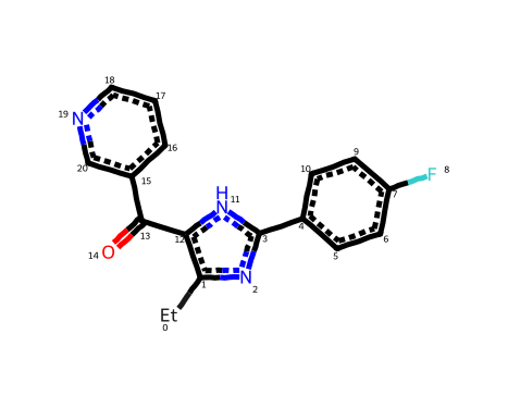 CCc1nc(-c2ccc(F)cc2)[nH]c1C(=O)c1cccnc1